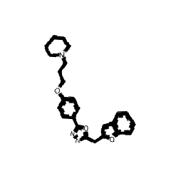 c1ccc2oc(Cc3nnc(-c4ccc(OCCCN5CCCCC5)cc4)o3)cc2c1